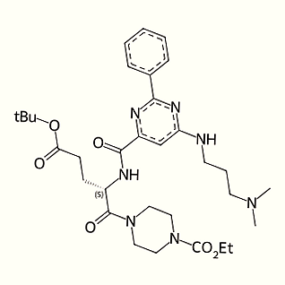 CCOC(=O)N1CCN(C(=O)[C@H](CCC(=O)OC(C)(C)C)NC(=O)c2cc(NCCCN(C)C)nc(-c3ccccc3)n2)CC1